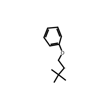 CC(C)(C)[CH]COc1ccccc1